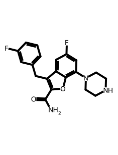 NC(=O)c1oc2c(N3CCNCC3)cc(F)cc2c1Cc1cccc(F)c1